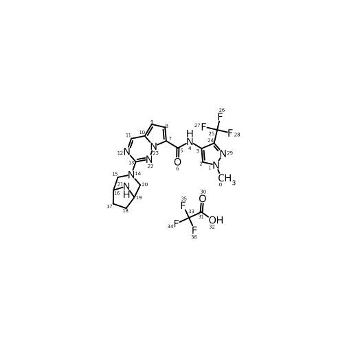 Cn1cc(NC(=O)c2ccc3cnc(N4CC5CCC(C4)N5)nn23)c(C(F)(F)F)n1.O=C(O)C(F)(F)F